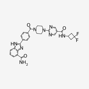 NC(=O)c1cccc2[nH]c(-c3ccc(C(=O)N4CCN(c5ncc(C(=O)NC6CC(F)(F)C6)cn5)CC4)cc3)nc12